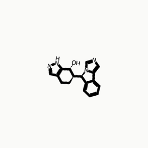 O[C@H]1c2[nH]ncc2CC[C@@H]1[C@@H]1c2ccccc2-c2cncn21